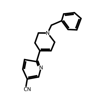 N#Cc1ccc(C2=CCN(Cc3ccccc3)CC2)nc1